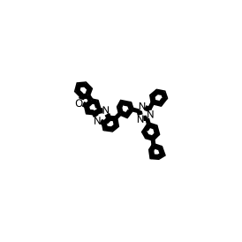 c1ccc(-c2ccc(-c3nc(-c4ccccc4)nc(-c4cccc(-c5cccc6nc7cc8oc9ccccc9c8cc7nc56)c4)n3)cc2)cc1